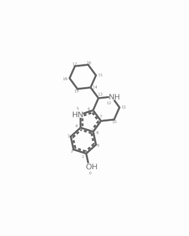 Oc1ccc2[nH]c3c(c2c1)CCNC3C1CCCCC1